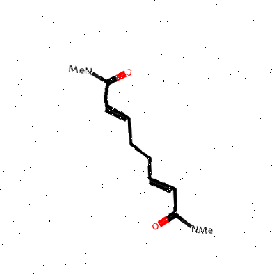 CNC(=O)C=CCCC=CC(=O)NC